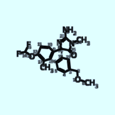 COCc1cccc([C@]2(c3ccc(OC(F)F)c(C)c3)N=C(N)N(C)C2=O)c1